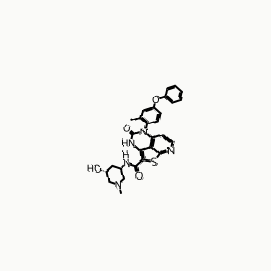 Cc1cc(Oc2ccccc2)ccc1N1C(=O)Nc2c(C(=O)N[C@@H]3C[C@@H](O)CN(C)C3)sc3nccc1c23